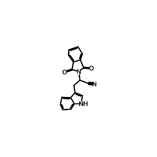 N#CC(Cc1c[nH]c2ccccc12)N1C(=O)c2ccccc2C1=O